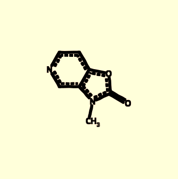 Cn1c(=O)oc2ccncc21